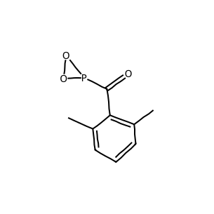 Cc1cccc(C)c1C(=O)p1oo1